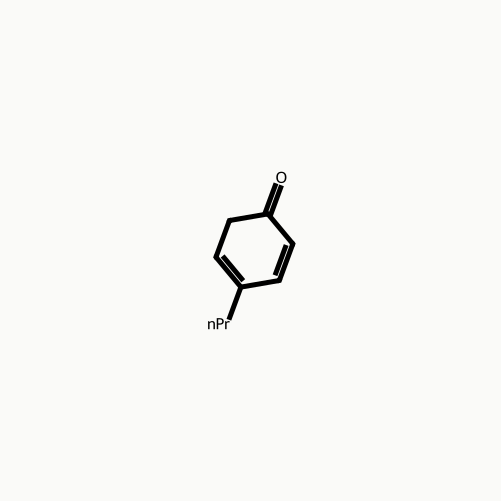 CCCC1=CCC(=O)C=C1